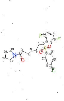 O=C(CCCCCC(c1cc(F)ccc1F)S(=O)(=O)c1ccc(Cl)cc1)N1CCCC1